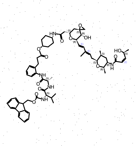 CC(/C=C/[C@H]1O[C@H](CC(=O)N[C@H]2CC[C@H](OC(=O)CCc3ccccc3NC(=O)[C@H](C)NC(=O)[C@@H](NC(=O)OCC3c4ccccc4-c4ccccc43)C(C)C)CC2)C[C@@]2(CO2)[C@@H]1O)=C\C[C@@H]1O[C@H](C)[C@H](NC(=O)/C=C\[C@H](C)O)C[C@@H]1C